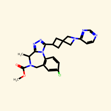 COC(=O)N1Cc2cc(Cl)ccc2-n2c(C3CC4(C3)CN(c3ccncn3)C4)nnc2C1C